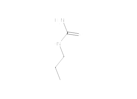 [CH2]CCNC(N)=O